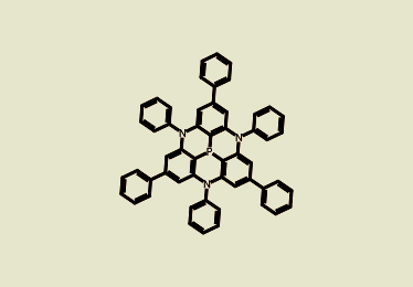 c1ccc(-c2cc3c4c(c2)N(c2ccccc2)c2cc(-c5ccccc5)cc5c2P4c2c(cc(-c4ccccc4)cc2N5c2ccccc2)N3c2ccccc2)cc1